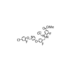 COC(=O)c1cc(F)c2nc(Cc3ccc(Oc4ccnc(COc5ccc(Cl)cc5F)c4)cc3F)n(C[C@@H]3CCO3)c2c1